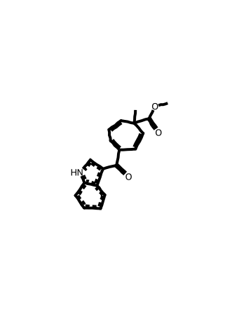 COC(=O)C1(C)C=CC=C(C(=O)c2c[nH]c3ccccc23)C=C1